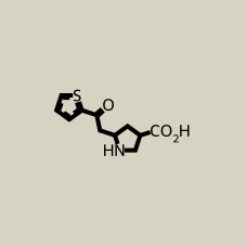 O=C(CC1CC(C(=O)O)CN1)c1cccs1